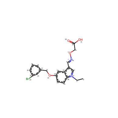 CCn1cc(/C=N/OCC(=O)O)c2cc(OCc3cccc(Br)c3)ccc21